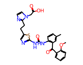 COc1ccccc1C(=O)c1cc(C)ccc1NC(=O)Nc1ncc(CCc2nccn2CC(=O)O)s1